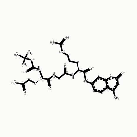 Cc1cc(=O)oc2cc(NC(=O)[C@H](CCCNC(=N)N)NC(=O)CNC(=O)[C@H](CCC(N)=O)NC(=O)OC(C)(C)C)ccc12